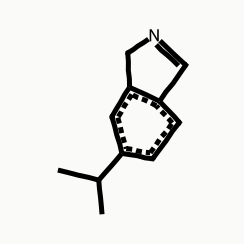 CC(C)c1ccc2c(c1)CN=C2